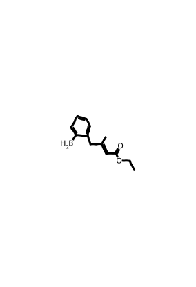 Bc1ccccc1C/C(C)=C/C(=O)OCC